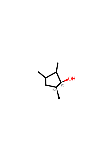 CC1C[C@H](C)[C@H](O)C1C